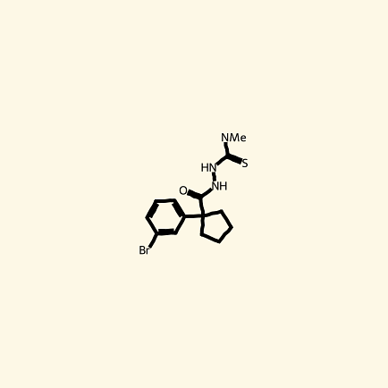 CNC(=S)NNC(=O)C1(c2cccc(Br)c2)CCCC1